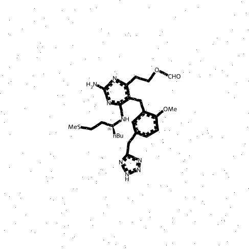 CCCC[C@@H](CCSC)Nc1nc(N)nc(CCOC=O)c1Cc1cc(Cc2nn[nH]n2)ccc1OC